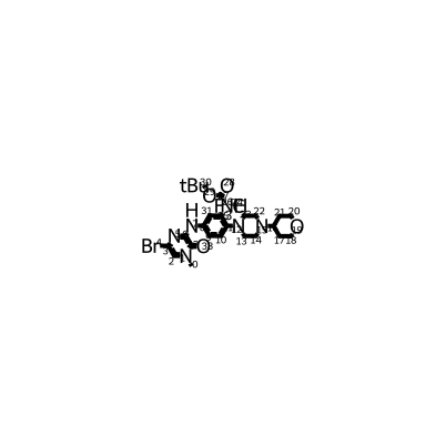 Cn1cc(Br)nc(Nc2ccc(N3CCN(C4CCOCC4)CC3C(F)(F)F)c(NC(=O)OC(C)(C)C)c2)c1=O